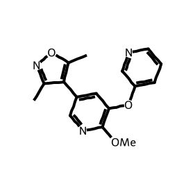 COc1ncc(-c2c(C)noc2C)cc1Oc1cccnc1